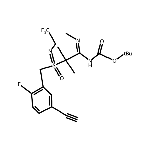 C#Cc1ccc(F)c(CS(=O)(=NCC(F)(F)F)C(C)(C)/C(=N\C)NC(=O)OC(C)(C)C)c1